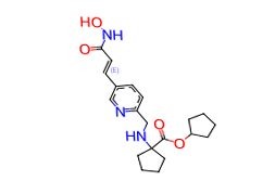 O=C(/C=C/c1ccc(CNC2(C(=O)OC3CCCC3)CCCC2)nc1)NO